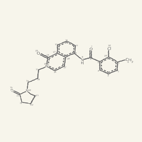 Cc1cccc(C(=O)Nc2cccc3c(=O)n(CCCN4CCCC4=O)ccc23)c1Cl